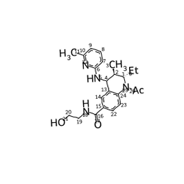 CC[C@H]1[C@H](C)C(Nc2cccc(C)n2)c2cc(C(=O)NCCO)ccc2N1C(C)=O